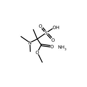 COC(=O)C(C)(N(C)C)S(=O)(=O)O.N